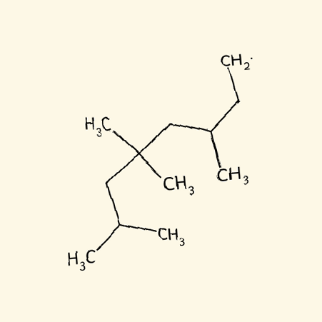 [CH2]CC(C)CC(C)(C)CC(C)C